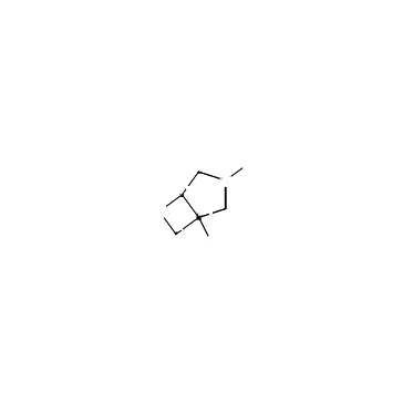 CN1CC2NCC2(N)C1